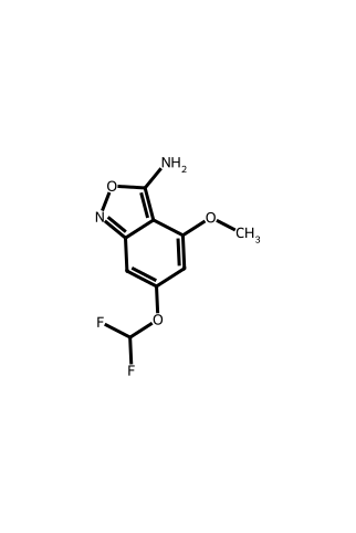 COc1cc(OC(F)F)cc2noc(N)c12